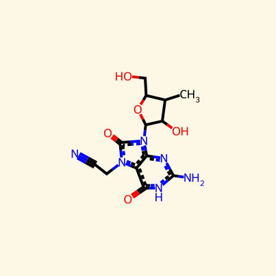 CC1C(CO)OC(n2c(=O)n(CC#N)c3c(=O)[nH]c(N)nc32)C1O